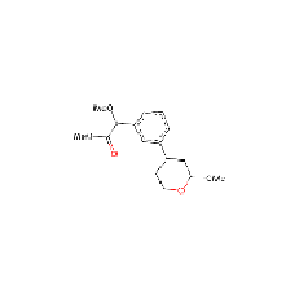 COC(=O)C(OC)c1cccc(C2CCOC(OC)C2)c1